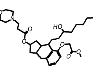 CCCCCC(O)CCC1c2c(cccc2OCC(=O)OC)CC2CC(OC(=O)CCN3CCOCC3)CC21